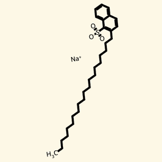 CCCCCCCCCCCCCCCCCCCCc1ccc2ccccc2c1S(=O)(=O)[O-].[Na+]